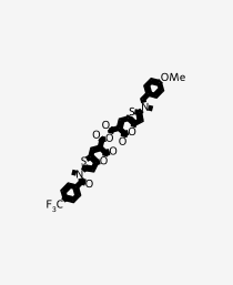 COc1ccc(CN(C)c2cc3oc(=O)c(C(=O)OC(=O)c4cc5sc(N(C)C(=O)c6ccc(C(F)(F)F)cc6)cc5oc4=O)cc3s2)cc1